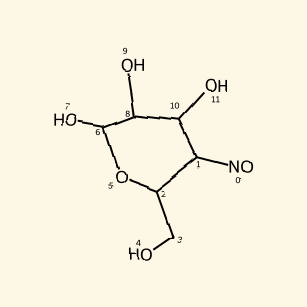 O=NC1C(CO)OC(O)C(O)C1O